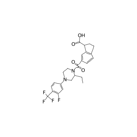 CCC1CN(c2ccc(C(F)(F)F)c(F)c2)CCN1S(=O)(=O)c1ccc2c(c1)C(C(=O)O)CC2